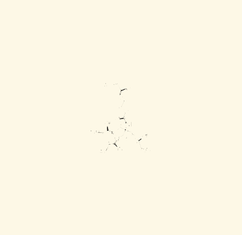 CC(=O)CC(=O)OCCOC(=O)NC(COC(=O)CC(C)=O)(COC(=O)CC(C)=O)COC(=O)CC(C)=O